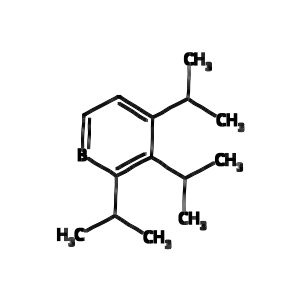 CC(C)c1bccc(C(C)C)c1C(C)C